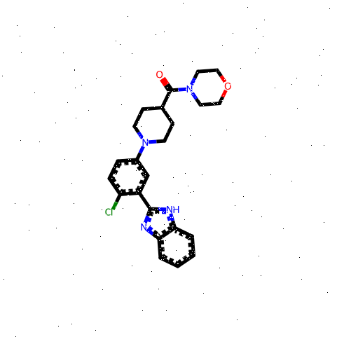 O=C(C1CCN(c2ccc(Cl)c(-c3nc4ccccc4[nH]3)c2)CC1)N1CCOCC1